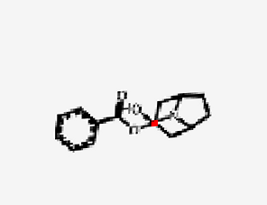 O=C(OC1CC2CCC(C1)N2CO)c1ccccc1